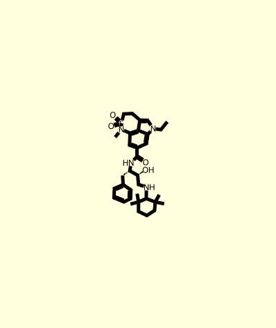 CCn1cc2c3c(cc(C(=O)N[C@@H](Cc4ccccc4)[C@H](O)CNC4C(C)(C)CCCC4(C)C)cc31)N(C)S(=O)(=O)CC2